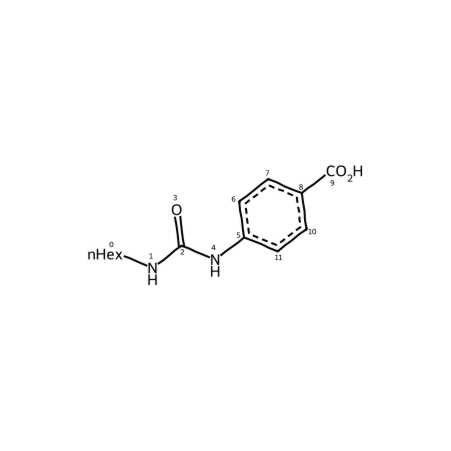 CCCCCCNC(=O)Nc1ccc(C(=O)O)cc1